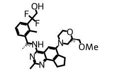 COC[C@H]1CN(c2cc3c(N[C@H](C)c4cccc(C(F)(F)CO)c4C)nc(C)nc3c3c2CCC3)CCO1